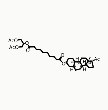 CC(=O)OCC(COC(C)=O)OC(=O)CCCCCCCCC(=O)O[C@@H]1CC[C@@]2(C)[C@@H](CC[C@@H]3[C@@H]2CC[C@]2(C)[C@@H](C(C)=O)CC[C@@H]32)C1